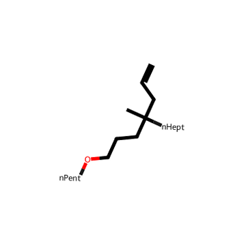 C=CCC(C)(CCCCCCC)CCCOCCCCC